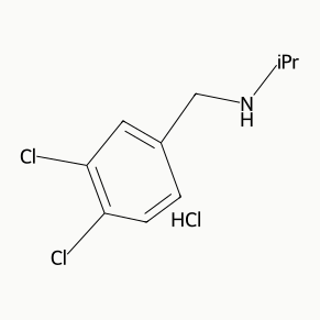 CC(C)NCc1ccc(Cl)c(Cl)c1.Cl